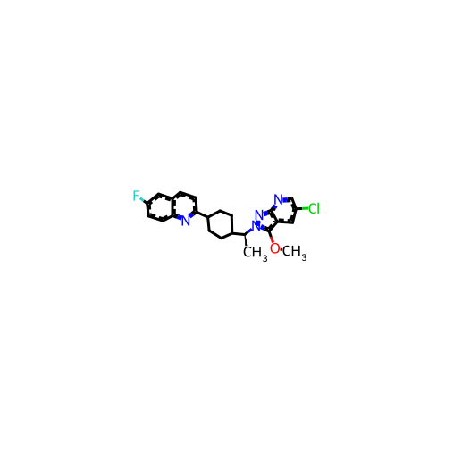 COc1c2cc(Cl)cnc2nn1[C@@H](C)C1CCC(c2ccc3cc(F)ccc3n2)CC1